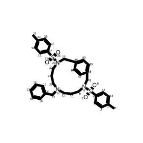 Cc1ccc(S(=O)(=O)N2CCCN(Cc3ccccc3)CCCN(S(=O)(=O)c3ccc(C)cc3)Cc3ccc(cc3)C2)cc1